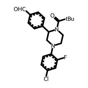 CC(C)(C)C(=O)N1CCN(c2ccc(Cl)cc2F)CC1c1ccc(C=O)cc1